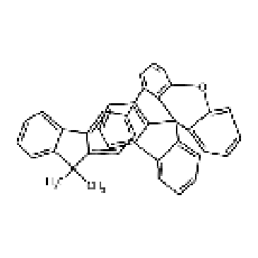 CC1(C)c2ccccc2-c2cc(-c3cccc4c3C3(c5ccccc5O4)c4ccccc4-c4ccccc43)ccc21